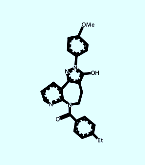 CCc1ccc(C(=O)N2CCc3c(nn(-c4ccc(OC)cc4)c3O)-c3cccnc32)cc1